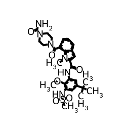 COc1c(NC(=O)c2cc3cccc(C(=O)N4CCN(C(N)=O)CC4)c3n2C)cc(C(C)(C)C)cc1NS(C)(=O)=O